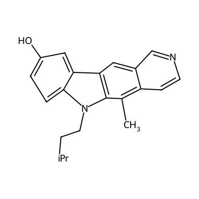 Cc1c2ccncc2cc2c3cc(O)ccc3n(CCC(C)C)c12